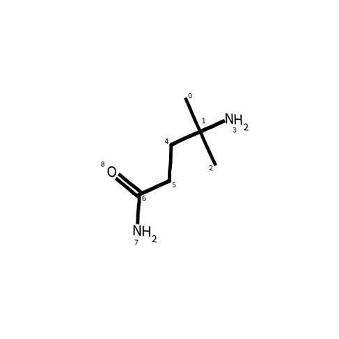 CC(C)(N)CCC(N)=O